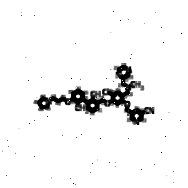 Cc1c(COc2cc(OCc3cncc(C#N)c3)c(CN(C)Cc3cnccn3)cc2Cl)cccc1-c1cccc(OCCCN2CCCC2)c1C